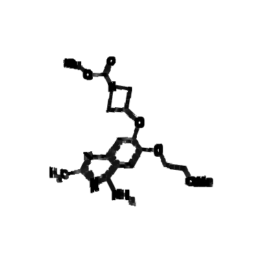 COCCOc1cc2c(N)nc(C)nc2cc1OC1CN(C(=O)OC(C)(C)C)C1